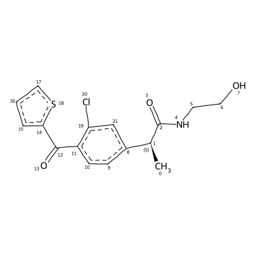 C[C@H](C(=O)NCCO)c1ccc(C(=O)c2cccs2)c(Cl)c1